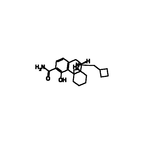 NC(=O)c1ccc2c(c1O)C13CCCC[C@H]1[C@@H](C2)N(CC1CCC1)CC3